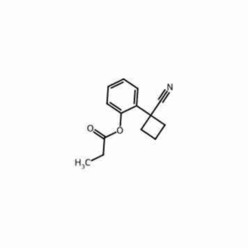 CCC(=O)Oc1ccccc1C1(C#N)CCC1